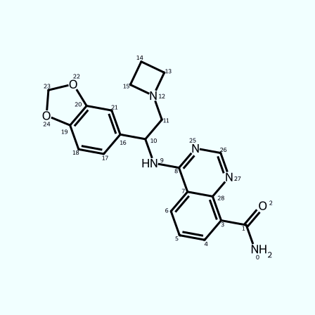 NC(=O)c1cccc2c(NC(CN3CCC3)c3ccc4c(c3)OCO4)ncnc12